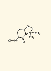 CC1(C)CSC2CCC(NCl)C(=O)N21